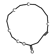 O=C1C/C=C/CCCCCCCCCCCCO1